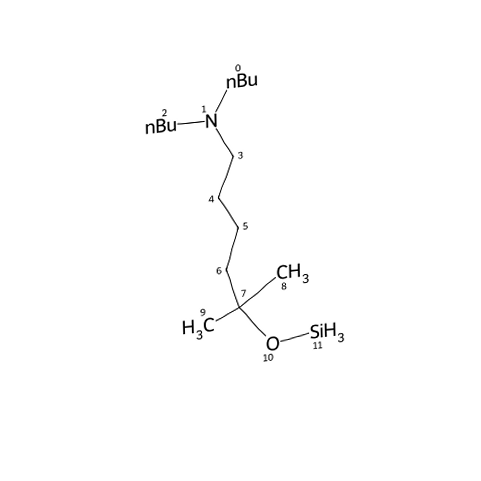 CCCCN(CCCC)CCCCC(C)(C)O[SiH3]